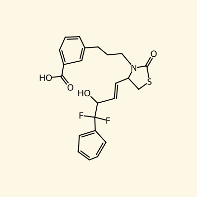 O=C(O)c1cccc(CCCN2C(=O)SCC2C=CC(O)C(F)(F)c2ccccc2)c1